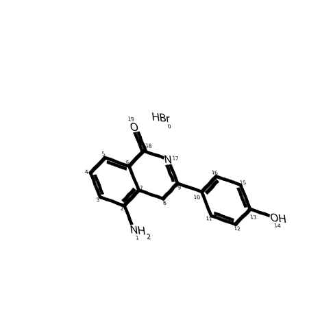 Br.Nc1cccc2c1CC(c1ccc(O)cc1)=NC2=O